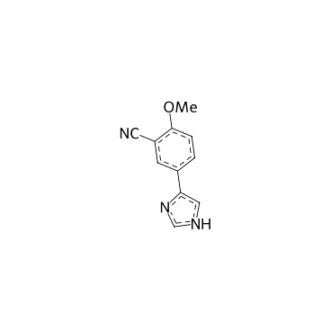 COc1ccc(-c2c[nH]cn2)cc1C#N